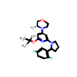 C[C@@H]1COCCN1c1cc(OC(C)(C)C)nc(N2CCCC2c2cc(F)ccc2F)c1